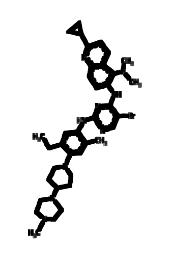 CCc1cc(Nc2ncc(Br)c(Nc3ccc4nc(C5CC5)ccc4c3P(C)C)n2)c(C)cc1N1CCC(N2CCN(C)CC2)CC1